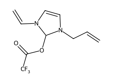 C=CCN1C=CN(C=C)C1OC(=O)C(F)(F)F